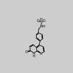 O=c1ccc2c(-c3ccc(CN[SH](=O)=O)cc3)ccnc2[nH]1